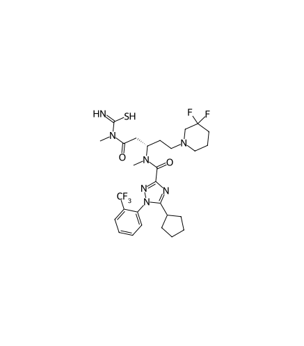 CN(C(=N)S)C(=O)C[C@H](CCN1CCCC(F)(F)C1)N(C)C(=O)c1nc(C2CCCC2)n(-c2ccccc2C(F)(F)F)n1